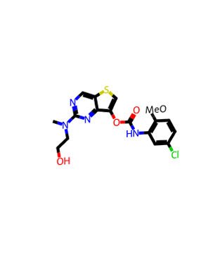 COc1ccc(Cl)cc1NC(=O)Oc1csc2cnc(N(C)CCO)nc12